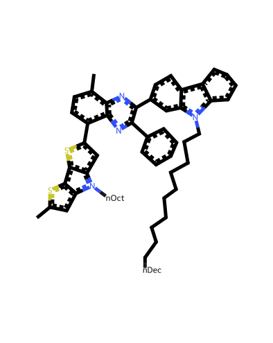 CCCCCCCCCCCCCCCCCCCCn1c2ccccc2c2ccc(-c3nc4c(C)ccc(-c5cc6c(s5)c5sc(C)cc5n6CCCCCCCC)c4nc3-c3ccccc3)cc21